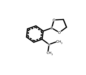 CN(C)c1ccccc1B1OCCO1